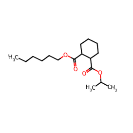 CCCCCCOC(=O)C1CCCCC1C(=O)OC(C)C